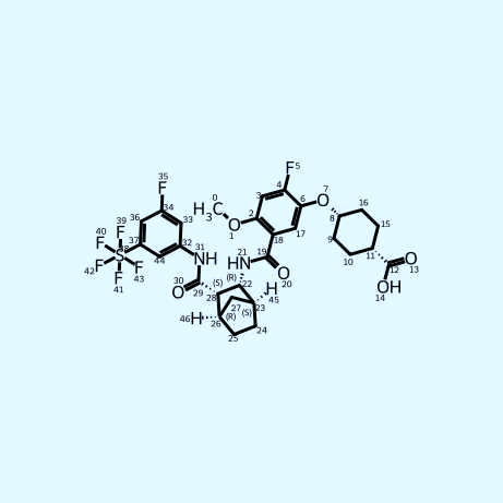 COc1cc(F)c(O[C@H]2CC[C@@H](C(=O)O)CC2)cc1C(=O)N[C@@H]1[C@H]2CC[C@H](C2)[C@@H]1C(=O)Nc1cc(F)cc(S(F)(F)(F)(F)F)c1